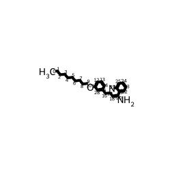 CCCCCCCCCCOc1cccc(Cc2cc(N)c3ccccc3n2)c1